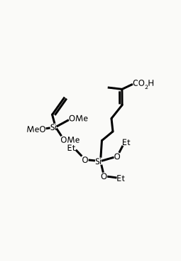 C=C[Si](OC)(OC)OC.CCO[Si](CCCC=C(C)C(=O)O)(OCC)OCC